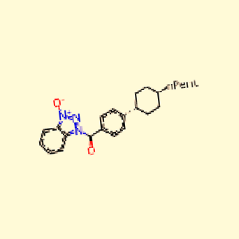 CCCCC[C@H]1CC[C@H](c2ccc(C(=O)n3n[n+]([O-])c4ccccc43)cc2)CC1